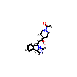 CC(=O)N1CCC(C(=O)CC2c3ccccc3-c3cncn32)CC1